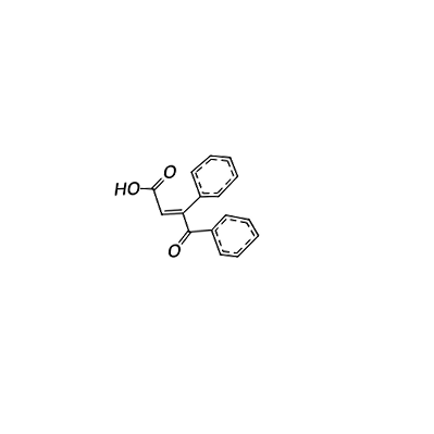 O=C(O)C=C(C(=O)c1ccccc1)c1ccccc1